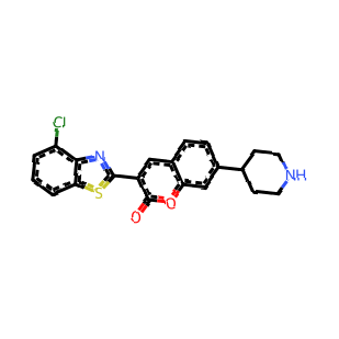 O=c1oc2cc(C3CCNCC3)ccc2cc1-c1nc2c(Cl)cccc2s1